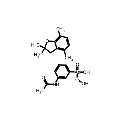 CC(=O)Nc1cccc([As](=O)(O)OO)c1.Cc1ccc(C)c2c1CC(C)(C)O2